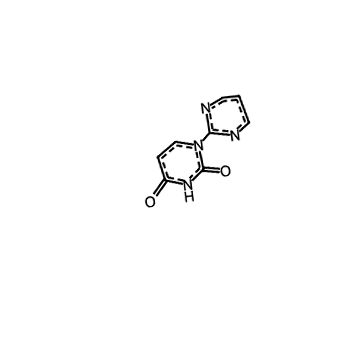 O=c1ccn(-c2ncccn2)c(=O)[nH]1